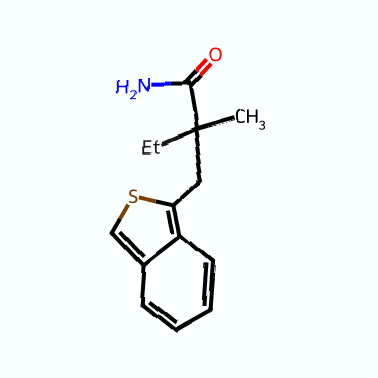 CCC(C)(Cc1scc2ccccc12)C(N)=O